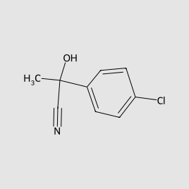 CC(O)(C#N)c1ccc(Cl)cc1